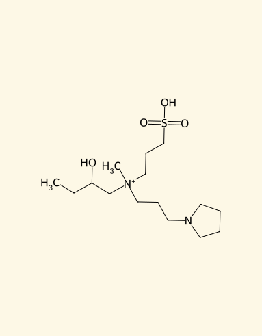 CCC(O)C[N+](C)(CCCN1CCCC1)CCCS(=O)(=O)O